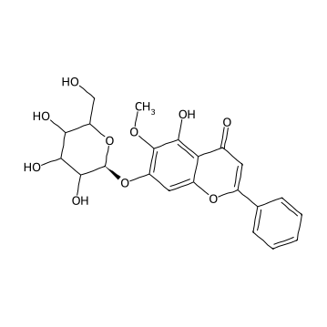 COc1c(O[C@@H]2OC(CO)C(O)C(O)C2O)cc2oc(-c3ccccc3)cc(=O)c2c1O